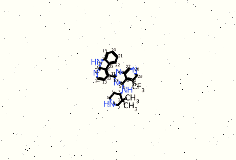 CC1(C)CNCCC1Nc1nc(-c2ccnc3[nH]c4ccccc4c23)nc2cncc(C(F)(F)F)c12